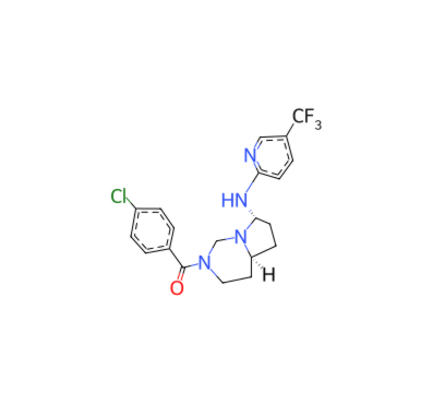 O=C(c1ccc(Cl)cc1)N1CC[C@@H]2CC[C@@H](Nc3ccc(C(F)(F)F)cn3)N2C1